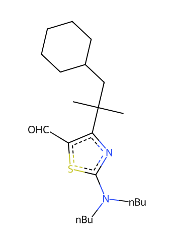 CCCCN(CCCC)c1nc(C(C)(C)CC2CCCCC2)c(C=O)s1